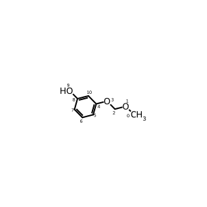 COCOc1cccc(O)c1